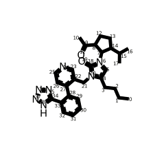 CCCCc1cn(C2C(C(C)=O)CCC2C(C)C)c(=O)n1Cc1cnccc1-c1ccccc1-c1nnn[nH]1